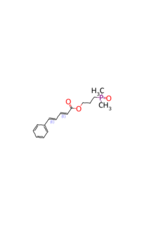 CP(C)(=O)CCCOC(=O)/C=C/C=C/c1ccccc1